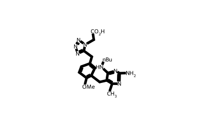 CCCCNc1nc(N)nc(C)c1Cc1cc(Cc2nnnn2CC(=O)O)ccc1OC